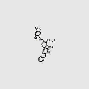 O=C(Cc1ccccc1)N[C@@H]1C(=O)N2C(C(=O)O)=C(/C=C/c3ccc([N+](=O)[O-])cc3[N+](=O)[O-])CS[C@H]12